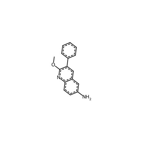 COc1nc2ccc(N)cc2cc1-c1ccccc1